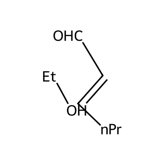 CCC/C=C/C=O.CCO